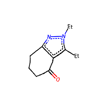 CCc1c2c(nn1CC)CCCC2=O